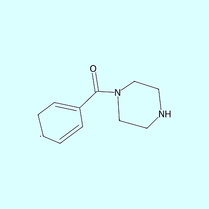 O=C(C1=CC[CH]C=C1)N1CCNCC1